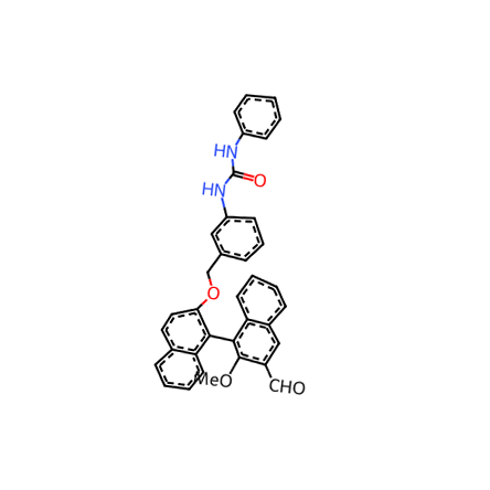 COc1c(C=O)cc2ccccc2c1-c1c(OCc2cccc(NC(=O)Nc3ccccc3)c2)ccc2ccccc12